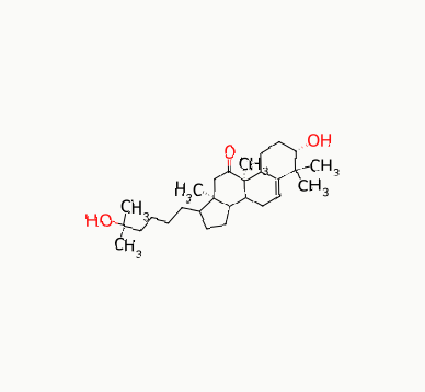 CC(C)(O)CCCCC1CCC2C3CC=C4C(CC[C@H](O)C4(C)C)[C@]3(C)C(=O)C[C@]12C